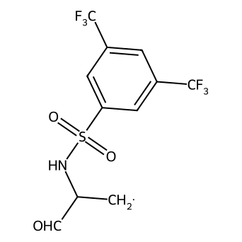 [CH2]C(C=O)NS(=O)(=O)c1cc(C(F)(F)F)cc(C(F)(F)F)c1